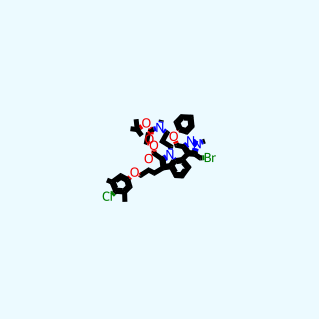 CCOC(=O)c1c(CCCOc2cc(C)c(Cl)c(C)c2)c2cccc(-c3c(COc4ccccc4)nn(C)c3CBr)c2n1CCCN(C)C(=O)OC(C)(C)C